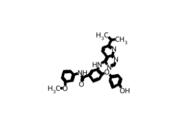 COc1cccc(NC(=O)c2ccc(Oc3ccc(O)cc3)c(Nc3ncnc4nc(C(C)C)ccc34)c2)c1